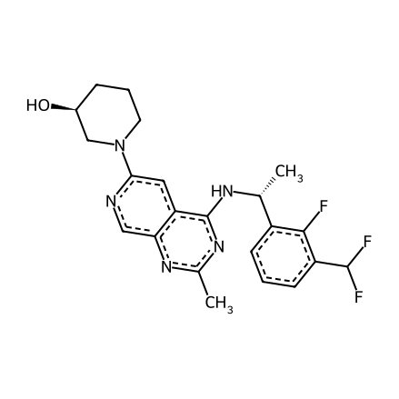 Cc1nc(N[C@H](C)c2cccc(C(F)F)c2F)c2cc(N3CCC[C@H](O)C3)ncc2n1